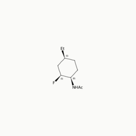 CC[C@H]1CC[C@@H](NC(C)=O)[C@@H](F)C1